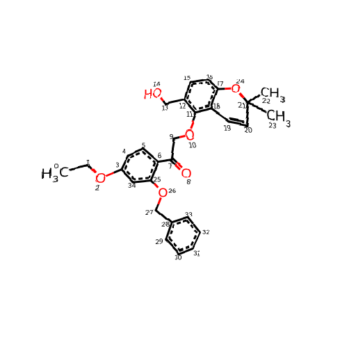 CCOc1ccc(C(=O)COc2c(CO)ccc3c2C=CC(C)(C)O3)c(OCc2ccccc2)c1